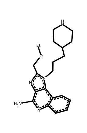 CCOCc1nc2c(N)nc3ccccc3c2n1[CH][CH]CC1CCNCC1